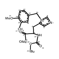 COC(=O)C(Cc1cncn1Cc1ccc(OC)c(C)c1)NC(=O)OC(C)(C)C